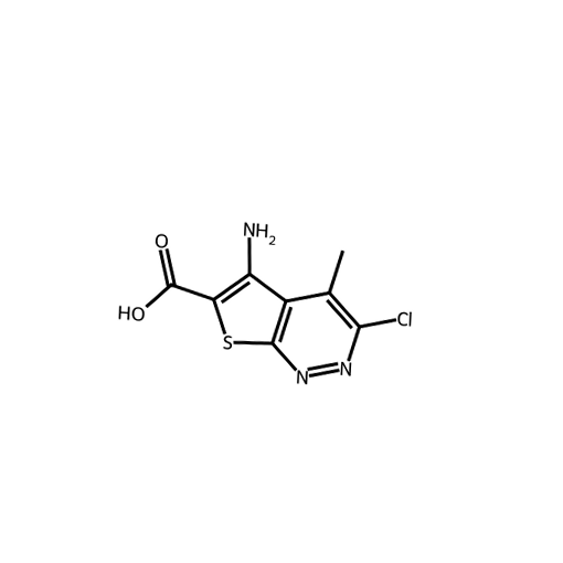 Cc1c(Cl)nnc2sc(C(=O)O)c(N)c12